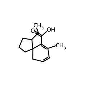 CCC1CCCC12CC=CC(C)=C2C(=O)O